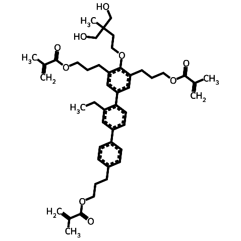 C=C(C)C(=O)OCCCc1ccc(-c2ccc(-c3cc(CCCOC(=O)C(=C)C)c(OCCC(C)(CO)CO)c(CCCOC(=O)C(=C)C)c3)c(CC)c2)cc1